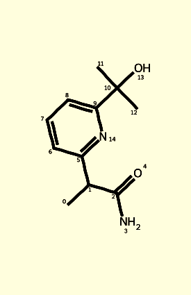 CC(C(N)=O)c1cccc(C(C)(C)O)n1